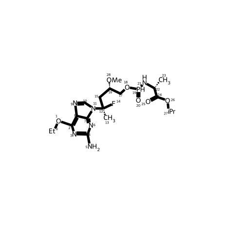 CCOc1nc(N)nc2c1ncn2[C@](C)(F)C[C@@H](CO[PH](=O)N[C@H](C)C(=O)OC(C)C)OC